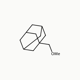 COCC12CC3CC(CC(C3)C1)C2